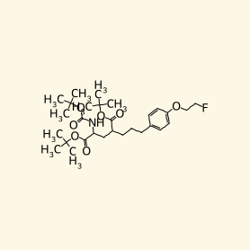 CC(C)(C)OC(=O)NC(CC(CCCc1ccc(OCCF)cc1)C(=O)OC(C)(C)C)C(=O)OC(C)(C)C